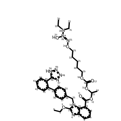 CCOc1nc2cccc(C(=O)OC(C)OC(=O)OCCCCCO/N=[N+](\O)N(CC)CC)c2n1Cc1ccc(-c2ccccc2-c2nnn[nH]2)cc1